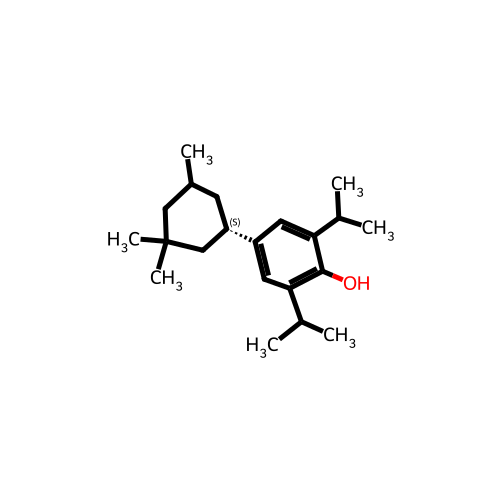 CC1C[C@H](c2cc(C(C)C)c(O)c(C(C)C)c2)CC(C)(C)C1